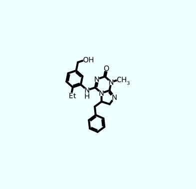 CCc1ccc(CO)cc1NC1=NC(=O)N(C)C2=NCC(Cc3ccccc3)N12